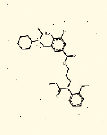 CCC(=O)N(CCCOC(=O)c1cc(Br)c(N)c(CN(CC)C2CCCCC2)c1)c1ccccc1OC